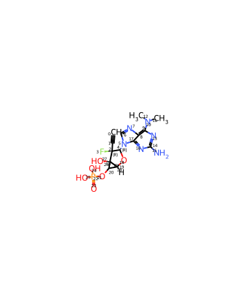 C#C[C@]1(F)[C@H](n2cnc3c(N(C)C)nc(N)nc32)O[C@@H]2C(OP(=O)(O)O)[C@@]21O